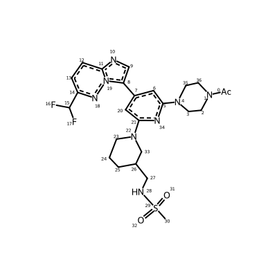 CC(=O)N1CCN(c2cc(-c3cnc4ccc(C(F)F)nn34)cc(N3CCCC(CNS(C)(=O)=O)C3)n2)CC1